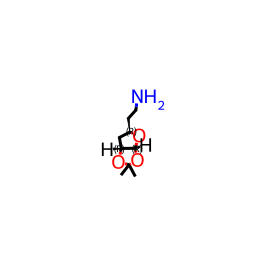 CC1(C)O[C@H]2O[C@H](CCN)C[C@H]2O1